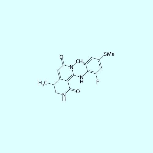 CSc1ccc(Nc2c3c(cc(=O)n2C)C(C)CNC3=O)c(F)c1